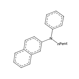 CCCCCN(c1ccccc1)c1ccc2ccccc2c1